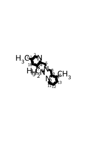 Cc1cnc(CN(N)Cc2ncccc2C)c(C)c1